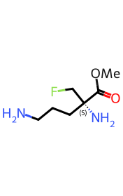 COC(=O)[C@](N)(CF)CCCN